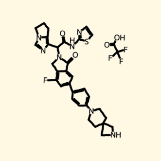 O=C(Nc1nccs1)C(c1ncn2c1CCC2)N1Cc2c(F)cc(-c3ccc(N4CCC5(CC4)CNC5)cc3)cc2C1=O.O=C(O)C(F)(F)F